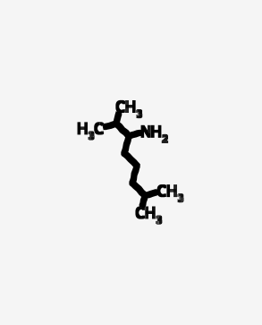 CC(C)CCCC(N)C(C)C